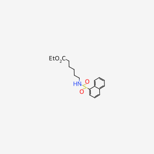 CCOC(=O)CCCCCNS(=O)(=O)c1cccc2ccccc12